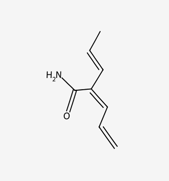 C=CC=C(C=CC)C(N)=O